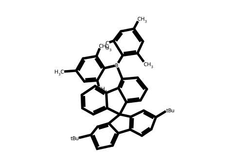 Cc1cc(C)c(B(c2cccc3c2-c2ccccc2C32c3cc(C(C)(C)C)ccc3-c3ccc(C(C)(C)C)cc32)c2c(C)cc(C)cc2C)c(C)c1